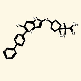 CC(C)(C(=O)O)C1(O)CCC(Oc2cc3nc(-c4ccc(-c5ccccc5)cc4)c(Cl)cc3[nH]2)CC1